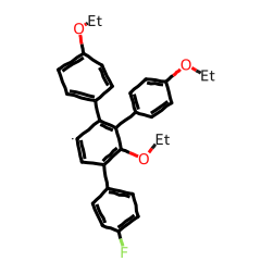 CCOc1ccc(-c2[c]cc(-c3ccc(F)cc3)c(OCC)c2-c2ccc(OCC)cc2)cc1